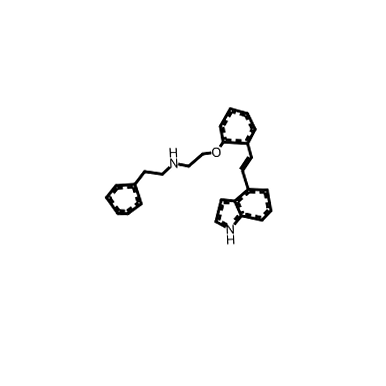 C(=C\c1cccc2[nH]ccc12)/c1ccccc1OCCNCCc1ccccc1